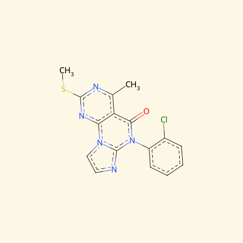 CSc1nc(C)c2c(=O)n(-c3ccccc3Cl)c3nccn3c2n1